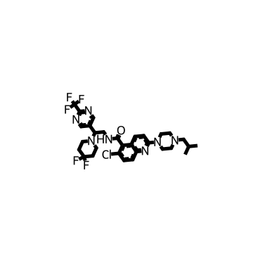 CC(C)CN1CCN(c2ccc3c(C(=O)NCC(c4cnc(C(F)(F)F)nc4)N4CCC(F)(F)CC4)c(Cl)ccc3n2)CC1